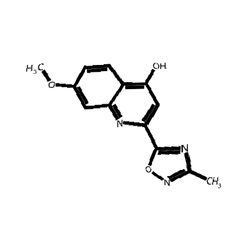 COc1ccc2c(O)cc(-c3nc(C)no3)nc2c1